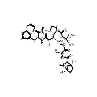 C=N/C(=N\C=C/C)[C@H](Cc1ccccc1)NC(=O)[C@H](C)[C@@H](OC)[C@@H]1CCCN1C(=O)C[C@@H](OC)[C@H]([C@@H](C)CC)N(C)C(=O)[C@@H](NC(=O)[C@@H]1[C@H]2CC[C@H](C2)N1C)C(C)C